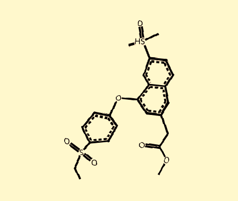 CCS(=O)(=O)c1ccc(Oc2cc(CC(=O)OC)cc3ccc([SH](C)(C)=O)cc23)cc1